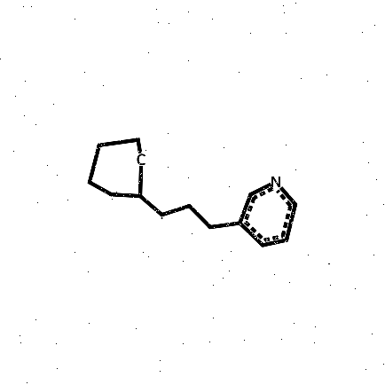 [CH](CCc1cccnc1)C1CCCCC1